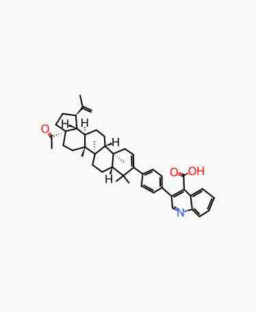 C=C(C)[C@@H]1CC[C@]2(C(C)=O)CC[C@]3(C)[C@H](CC[C@@H]4[C@@]5(C)CC=C(c6ccc(-c7cnc8ccccc8c7C(=O)O)cc6)C(C)(C)[C@@H]5CC[C@]43C)[C@@H]12